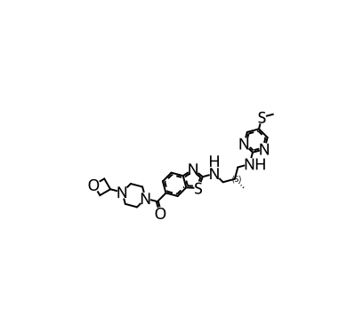 CSc1cnc(NC[C@H](C)CNc2nc3ccc(C(=O)N4CCN(C5COC5)CC4)cc3s2)nc1